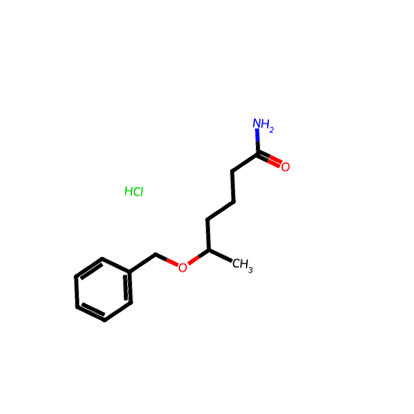 CC(CCCC(N)=O)OCc1ccccc1.Cl